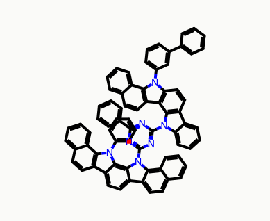 c1ccc(-c2cccc(-n3c4ccc5c6ccccc6n(-c6nc(-c7ccccc7)nc(-n7c8c9ccccc9ccc8c8ccc9c%10ccc%11ccccc%11c%10n(-c%10ccccc%10)c9c87)n6)c5c4c4ccc5ccccc5c43)c2)cc1